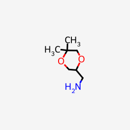 CC1(C)COC(CN)CO1